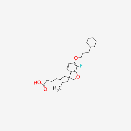 CCCC1(CCCCCC(=O)O)COc2c1ccc(OCCCC1CCCCC1)c2F